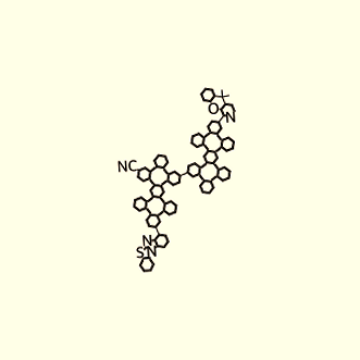 CC1(C)c2ccccc2Oc2c1ccnc2-c1ccc2c3ccccc3c3cc4c5ccc(-c6ccc7c(c6)c6ccccc6c6cc(C#N)ccc6c6cc8c9ccccc9c9ccc(-c%10cccc%11c%10nc%10sc%12ccccc%12n%10%11)cc9c9ccccc9c8cc76)cc5c5ccccc5c5ccccc5c4cc3c3ccccc3c2c1